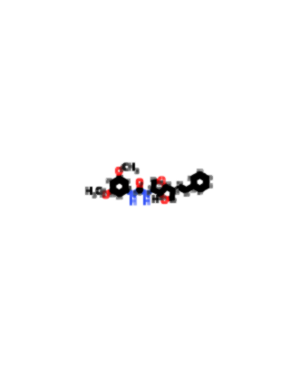 COc1cc(NC(=O)N[C@H]2COC3[C@H](C=Cc4ccccc4)CO[C@@H]32)cc(OC)c1